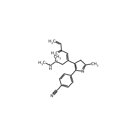 C=CC(=C)/C=C(\CN(C)NC)C1=C(c2ccc(C#N)cc2)N=C(C)C1